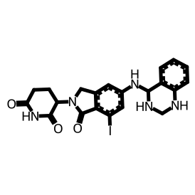 O=C1CCC(N2Cc3cc(NC4NCNc5ccccc54)cc(I)c3C2=O)C(=O)N1